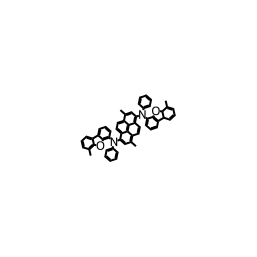 CC1=CC=CC2c3cccc(N(c4ccccc4)c4cc(C)c5ccc6c(N(c7ccccc7)c7cccc8c7oc7c(C)cccc78)cc(C)c7ccc4c5c76)c3OC12